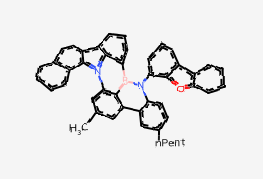 CCCCCc1ccc2c(c1)-c1cc(C)cc3c1B(c1cccc4c5ccc6ccccc6c5n-3c14)N2c1cccc2c1oc1ccccc12